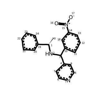 C[C@H](NC(c1ccncc1)c1cccc([N+](=O)[O-])c1)c1ccccc1